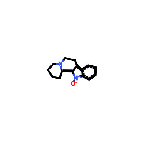 [O-][N+]1=c2ccccc2=C2CCN3CCCCC3=C21